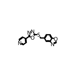 c1cc(-c2nnc(SCc3ccc4ocnc4c3)o2)ccn1